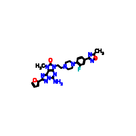 Cc1nc(-c2ccc(N3CCN(CCn4c(=O)n(C)c5c4nc(N)n4nc(-c6ccco6)nc54)CC3)c(F)c2)no1